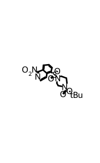 CC(C)(C)OC(=O)N1CCCN(S(=O)(=O)c2cccc3c([N+](=O)[O-])nccc23)CC1